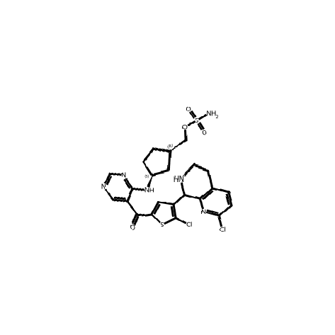 NS(=O)(=O)OC[C@@H]1CC[C@H](Nc2ncncc2C(=O)c2cc(C3NCCc4ccc(Cl)nc43)c(Cl)s2)C1